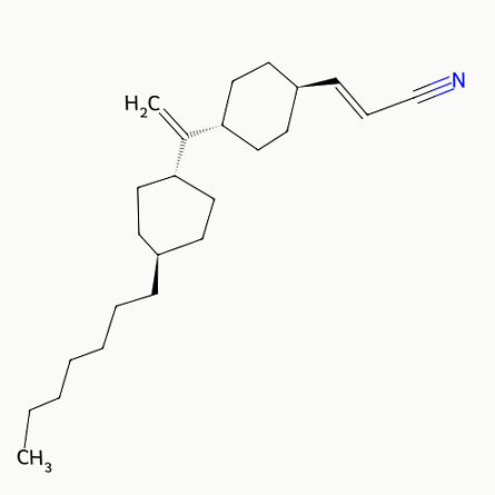 C=C([C@H]1CC[C@H](/C=C/C#N)CC1)[C@H]1CC[C@H](CCCCCCC)CC1